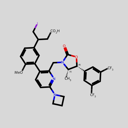 COc1ccc(C(CI)CC(=O)O)cc1-c1ccc(N2CCC2)nc1CN1C(=O)O[C@H](c2cc(C(F)(F)F)cc(C(F)(F)F)c2)[C@@H]1C